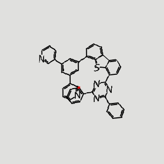 c1ccc(-c2nc(-c3ccccc3)nc(-c3cccc4c3sc3c(-c5cc(-c6cccnc6)cc(-c6cccnc6)c5)cccc34)n2)cc1